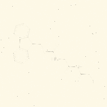 O=C(CI)NC(=O)CNC(=O)OCC1c2ccccc2-c2ccccc21